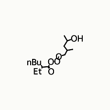 CCCCC(CC)C(=O)OOOCC(C)CC(C)O